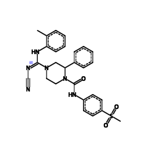 Cc1ccccc1N/C(=N/C#N)N1CCN(C(=O)Nc2ccc(S(C)(=O)=O)cc2)C(c2ccccc2)C1